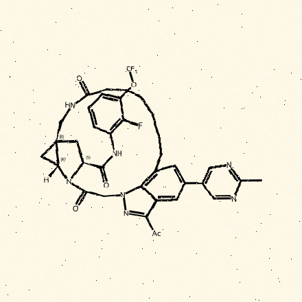 CC(=O)c1nn2c3c(cc(-c4cnc(C)nc4)cc13)CCCCCCC(=O)NC[C@@]13C[C@@H](C(=O)Nc4cccc(OC(F)(F)F)c4F)N(C(=O)C2)[C@@H]1C3